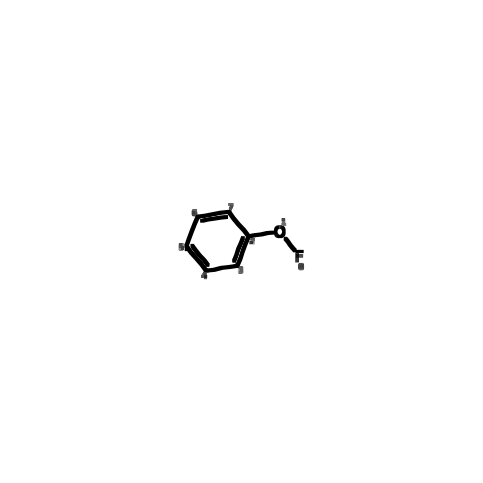 FOc1cc[c]cc1